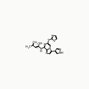 C=C(C)/C=C(\S)Nc1nc(Sc2nccs2)cn2c(-c3cn[nH]c3)cnc12